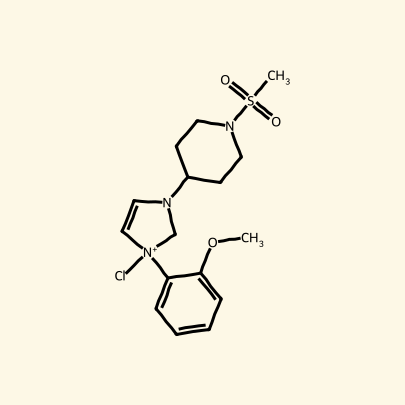 COc1ccccc1[N+]1(Cl)C=CN(C2CCN(S(C)(=O)=O)CC2)C1